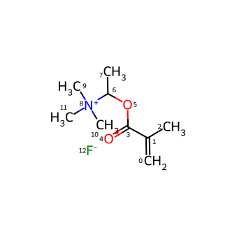 C=C(C)C(=O)OC(C)[N+](C)(C)C.[F-]